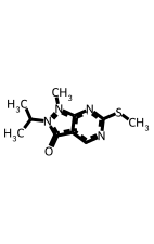 CSc1ncc2c(=O)n(C(C)C)n(C)c2n1